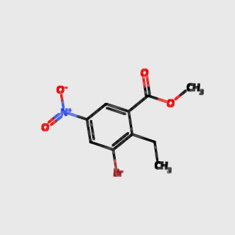 CCc1c(Br)cc([N+](=O)[O-])cc1C(=O)OC